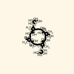 C/C1=C\C=C\C2(C)C=C(CO[C@H]3O[C@H](CO)[C@H](O)[C@H](O)[C@H]3O)C(C)CC23OC(O)C(C3=O)C(O)/C=C/C2(C)C=C(CO)C(C)CC23OC(O)C(C3=O)C(O)/C(C)=C/C=C/C2C=C(CO[C@H]3O[C@H](CO)[C@H](O)[C@H](O)[C@H]3O)C(C)CC23OC(O)C(C3=O)C(O)/C=C/C2(C)C=C(CO)C(C)CC23OC(O)C(C3=O)C1O